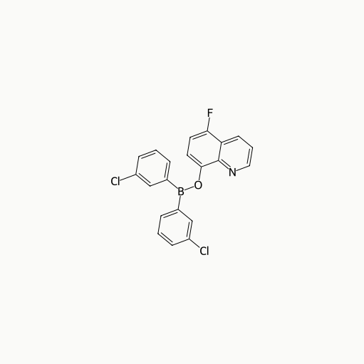 Fc1ccc(OB(c2cccc(Cl)c2)c2cccc(Cl)c2)c2ncccc12